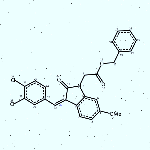 COc1ccc2c(c1)N(CC(=O)OCc1ccccc1)C(=O)/C2=C\c1ccc(Cl)c(Cl)c1